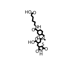 CN(CC1CCC(C(=O)NCCCCCC(=O)O)CC1)C(=O)CC(CC1C(=O)NC(=O)C1=S)C(=O)O